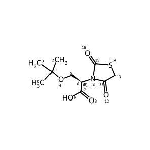 CC(C)(C)OC[C@H](C(=O)O)N1C(=O)CSC1=O